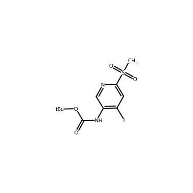 CC(C)(C)OC(=O)Nc1cnc(S(C)(=O)=O)cc1I